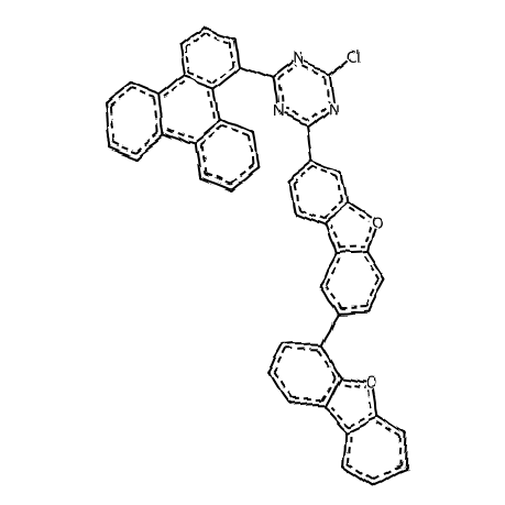 Clc1nc(-c2ccc3c(c2)oc2ccc(-c4cccc5c4oc4ccccc45)cc23)nc(-c2cccc3c4ccccc4c4ccccc4c23)n1